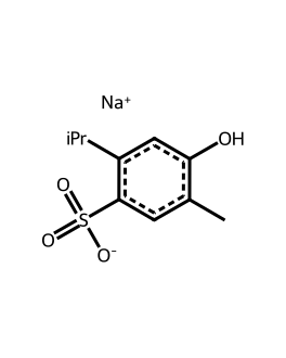 Cc1cc(S(=O)(=O)[O-])c(C(C)C)cc1O.[Na+]